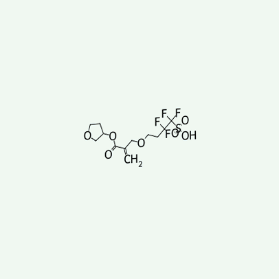 C=C(COCCC(F)(F)C(F)(F)S(=O)(=O)O)C(=O)OC1CCOC1